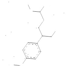 CCC(CCC(C)OC)c1ccc(OC)cc1